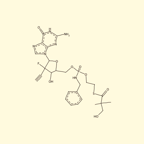 C#CC1(F)C(O)C(COP(=O)(NCc2ccccc2)OCCSC(=O)C(C)(C)CO)OC1n1cnc2c(=O)[nH]c(N)nc21